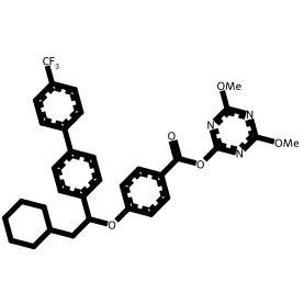 COc1nc(OC)nc(OC(=O)c2ccc(OC(CC3CCCCC3)c3ccc(-c4ccc(C(F)(F)F)cc4)cc3)cc2)n1